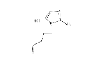 Cl.Nc1nccn1CCCC=O